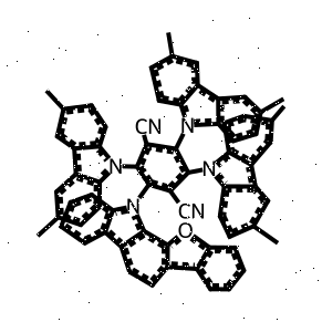 Cc1ccc2c(c1)c1cc(C)ccc1n2-c1c(C#N)c(-n2c3ccc(C)cc3c3cc(C)ccc32)c(-n2c3ccccc3c3ccc4c5ccccc5oc4c32)c(C#N)c1-n1c2ccc(C)cc2c2cc(C)ccc21